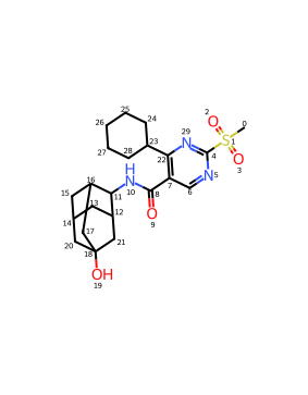 CS(=O)(=O)c1ncc(C(=O)NC2C3CC4CC2CC(O)(C4)C3)c(C2CCCCC2)n1